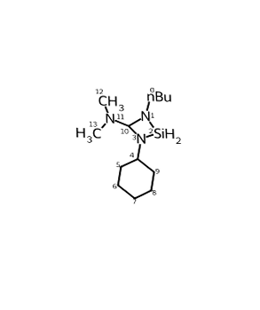 CCCCN1[SiH2]N(C2CCCCC2)C1N(C)C